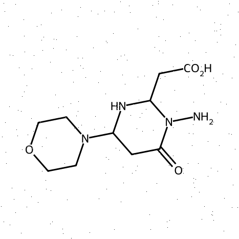 NN1C(=O)CC(N2CCOCC2)NC1CC(=O)O